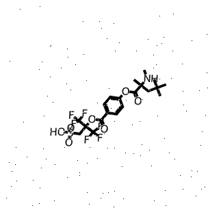 CNC(C)(CC(C)(C)C)C(=O)Oc1ccc(C(=O)OC(CS(=O)(=O)O)(C(F)(F)F)C(F)(F)F)cc1